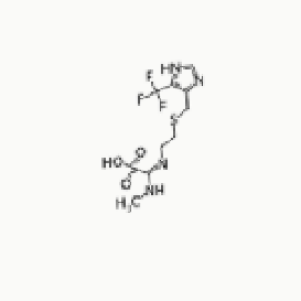 CNC(=NCCSCc1nc[nH]c1C(F)(F)F)S(=O)(=O)O